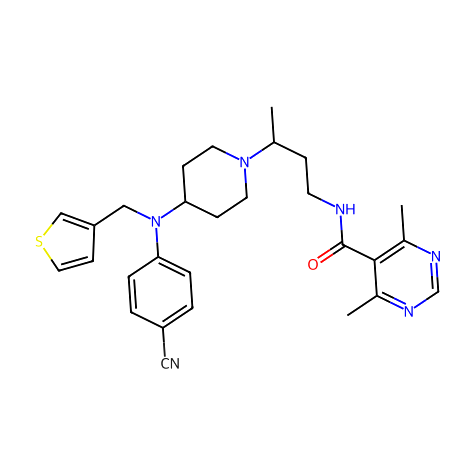 Cc1ncnc(C)c1C(=O)NCCC(C)N1CCC(N(Cc2ccsc2)c2ccc(C#N)cc2)CC1